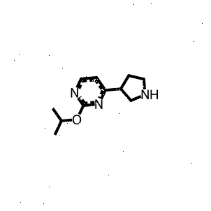 CC(C)Oc1nccc(C2CCNC2)n1